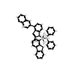 CC1=Cc2c(-c3cnc4ccccc4c3)cccc2[CH]1[Zr]([Cl])([Cl])([c]1cccc2c1Cc1ccccc1-2)[SiH](c1ccccc1)c1ccccc1